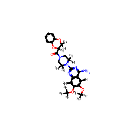 [2H]c1c(OC([2H])([2H])[2H])c(OC([2H])([2H])[2H])c([2H])c2c(N)nc(N3C([2H])([2H])CN(C(=O)C4([2H])Oc5ccccc5OC4([2H])[2H])CC3([2H])[2H])nc12